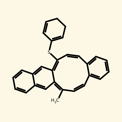 Cc1ccc2ccccc2ccc(SC2=CCCC=C2)c2cc3ccccc3cc12